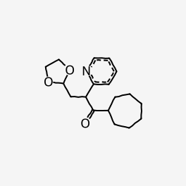 O=C(C1CCCCCC1)C(CC1OCCO1)c1ccccn1